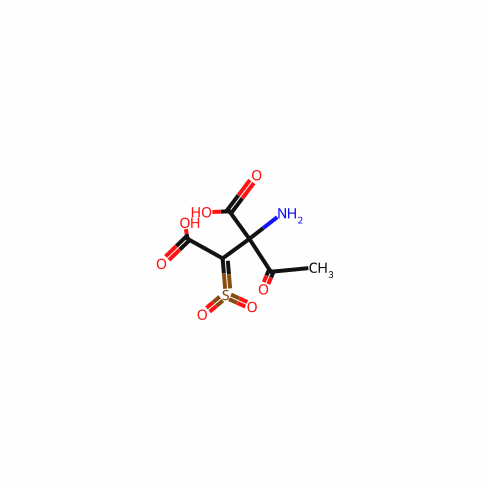 CC(=O)C(N)(C(=O)O)C(C(=O)O)=S(=O)=O